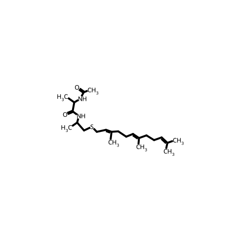 CC(=O)NC(C)C(=O)NC(C)CSC/C=C(\C)CC/C=C(\C)CCC=C(C)C